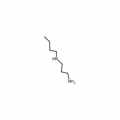 NCCCNCCCI